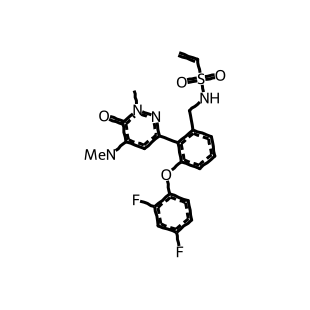 C=CS(=O)(=O)NCc1cccc(Oc2ccc(F)cc2F)c1-c1cc(NC)c(=O)n(C)n1